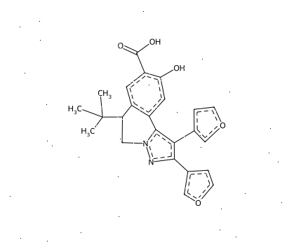 CC(C)(C)C1Cn2nc(-c3ccoc3)c(-c3ccoc3)c2-c2cc(O)c(C(=O)O)cc21